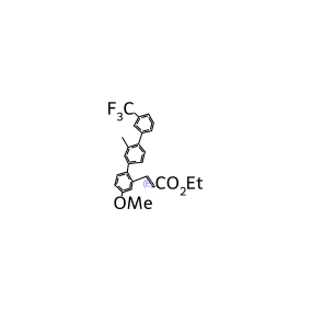 CCOC(=O)/C=C/c1cc(OC)ccc1-c1ccc(-c2cccc(C(F)(F)F)c2)c(C)c1